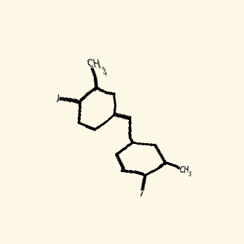 CC1CC(CC2CCC(I)C(C)C2)CCC1I